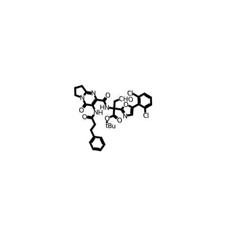 CC(C)(C)OC(=O)C(CC=O)(NC(=O)c1nc2n(c(=O)c1NC(=O)CCc1ccccc1)CCC2)c1ncc(-c2c(Cl)cccc2Cl)o1